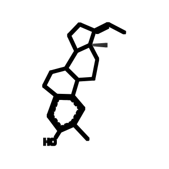 C/C=C1/CCC2C3CCc4cc(O)c(C)cc4C3CC[C@]12C